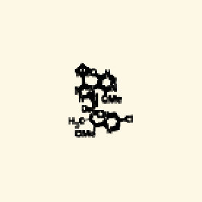 COc1ncnc(OC)c1-n1c(NS(=O)(=O)[C@@H](C)[C@H](OC)c2ncc(Cl)cn2)nnc1C1CCC1